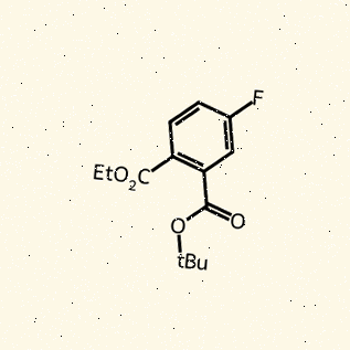 CCOC(=O)c1ccc(F)cc1C(=O)OC(C)(C)C